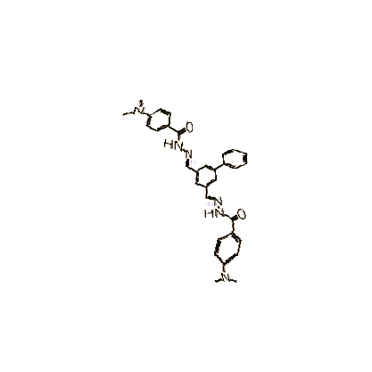 CN(C)c1ccc(C(=O)N/N=C/c2cc(/C=N/NC(=O)c3ccc(N(C)C)cc3)cc(-c3ccccc3)c2)cc1